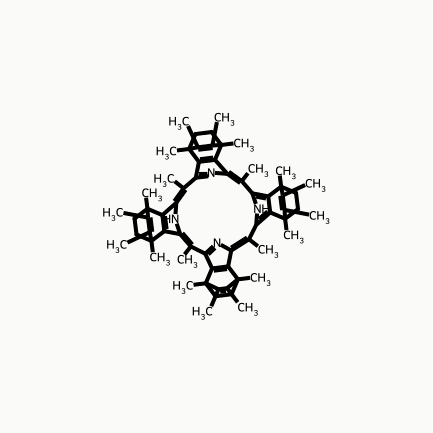 CC1=C(C)C2(C)CCC1(C)C1=C2c2nc1c(C)c1[nH]c(c(C)c3nc(c(C)c4[nH]c(c2C)c2c4C4(C)CCC2(C)C(C)=C4C)C2=C3C3(C)CCC2(C)C(C)=C3C)c2c1C1(C)CCC2(C)C(C)=C1C